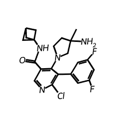 CC1(N)CCN(c2c(C(=O)NC34CC(C3)C4)cnc(Cl)c2-c2cc(F)cc(F)c2)C1